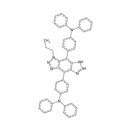 CCCn1nnc2c(-c3ccc(N(c4ccccc4)c4ccccc4)cc3)c3c(c(-c4ccc(N(c5ccccc5)c5ccccc5)cc4)c21)N[SH]=N3